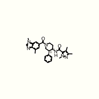 Cc1nn(C)c(C(=O)N[C@@H]2CCN(C(=O)c3cc(C)c4ncn(C)c4c3)C[C@@H]2c2ccccc2)c1C